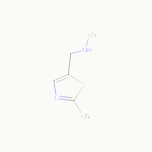 CC(C)(C)NCc1cnc(C#N)s1